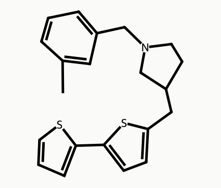 Cc1cccc(CN2CCC(Cc3ccc(-c4cccs4)s3)C2)c1